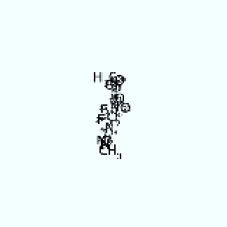 Cn1cc2c(n1)CN(c1ccc(N3C[C@H](COS(C)(=O)=O)OC3=O)c(F)c1F)C2